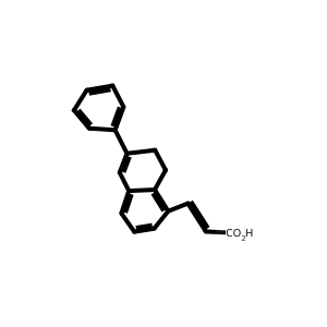 O=C(O)C=Cc1cccc2c1CCC(c1ccccc1)=C2